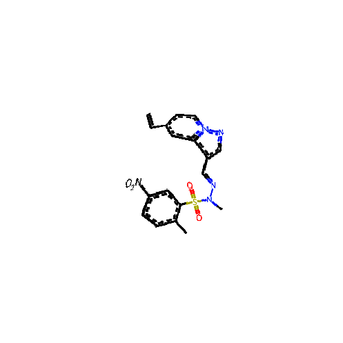 C=Cc1ccn2ncc(C=NN(C)S(=O)(=O)c3cc([N+](=O)[O-])ccc3C)c2c1